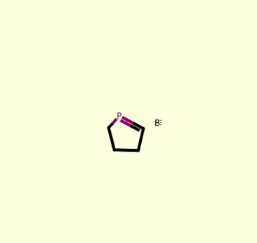 C1=PCCC1.[B]